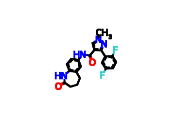 Cn1cc(C(=O)Nc2ccc3c(c2)CCCC(=O)N3)c(-c2cc(F)ccc2F)n1